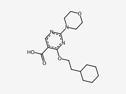 O=C(O)c1cnc(N2CCOCC2)nc1OCCC1CCCCC1